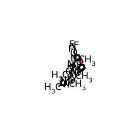 COc1cccc(OC)c1-n1c(NS(=O)(=O)[C@@H](C)[C@H](OC)c2ncc(C)cn2)nnc1-c1cccc(OCC(F)(F)F)n1